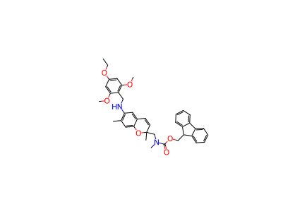 CCOc1cc(OC)c(CNc2cc3c(cc2C)OC(C)(CN(C)C(=O)OCC2c4ccccc4-c4ccccc42)C=C3)c(OC)c1